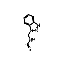 S=[C]NCn1nnc2ccccc21